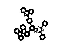 c1ccc(C2=NC(c3cc(-c4ccc(-c5nc6ccccc6c6ccccc56)cc4)cc(-c4cccc5c4-c4ccccc4C54c5ccccc5-c5ccccc54)c3)NC(c3ccccc3)=N2)cc1